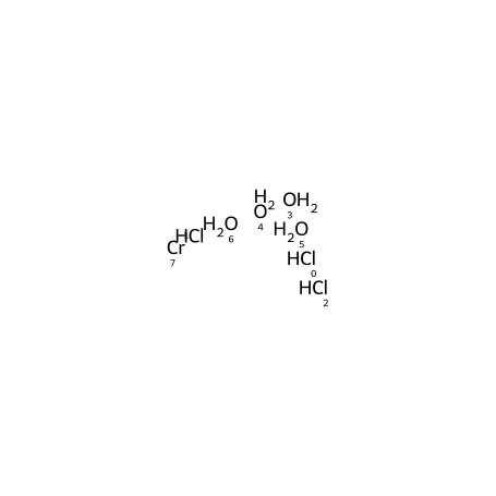 Cl.Cl.Cl.O.O.O.O.[Cr]